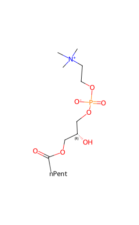 CCCCCC(=O)OC[C@@H](O)COP(=O)([O-])OCC[N+](C)(C)C